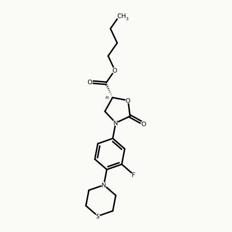 CCCCOC(=O)[C@H]1CN(c2ccc(N3CCSCC3)c(F)c2)C(=O)O1